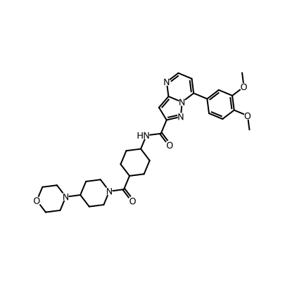 COc1ccc(-c2ccnc3cc(C(=O)NC4CCC(C(=O)N5CCC(N6CCOCC6)CC5)CC4)nn23)cc1OC